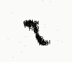 COc1cc(C(=O)NN2CCC(CCN3CCN(c4ccc(N(C)C5CCC(=O)NC5=O)cc4F)CC3)CC2)ccc1Nc1ncc2c(n1)N(C(C)C)CC(F)(F)C(=O)N2C